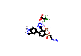 Cn1ncc2cc(-c3ccc(S(=O)(=O)CCN)c(S(N)(=O)=O)c3-c3nnn[nH]3)ccc21.O=C(O)C(F)(F)F